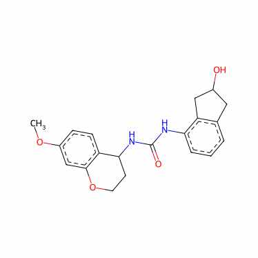 COc1ccc2c(c1)OCCC2NC(=O)Nc1cccc2c1CC(O)C2